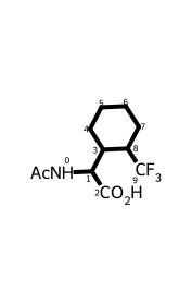 CC(=O)NC(C(=O)O)C1CCCCC1C(F)(F)F